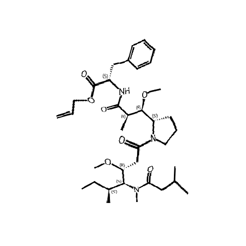 C=CCOC(=O)[C@H](Cc1ccccc1)NC(=O)[C@H](C)[C@@H](OC)[C@@H]1CCCN1C(=O)C[C@@H](OC)[C@H]([C@@H](C)CC)N(C)C(=O)CC(C)C